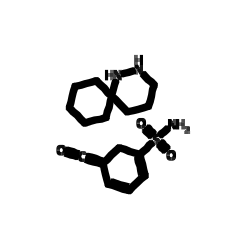 C1CCC2(CC1)CCCNN2.NS(=O)(=O)C1=CC=CC(=C=O)C1